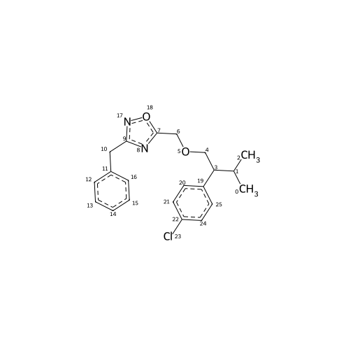 CC(C)C(COCc1nc(Cc2ccccc2)no1)c1ccc(Cl)cc1